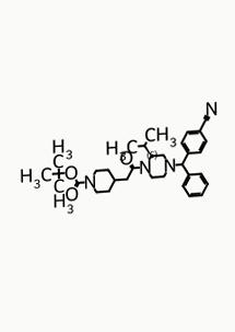 CC(C)[C@H]1CN(C(c2ccccc2)c2ccc(C#N)cc2)CCN1C(=O)CC1CCN(C(=O)OC(C)(C)C)CC1